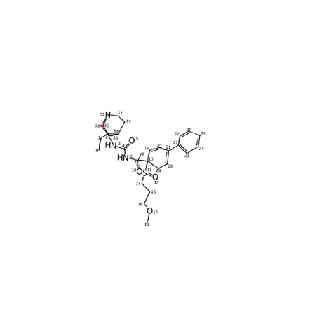 CCC1(NC(=O)NC(C)(C)C2(S(=O)(=O)CCCOC)C=CC(c3ccccc3)=CC2)CN2CCC1CC2